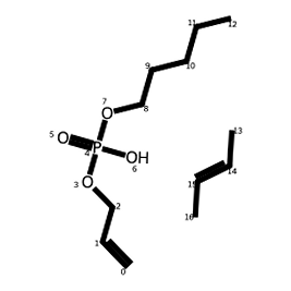 C=CCOP(=O)(O)OCCCCC.CC=CC